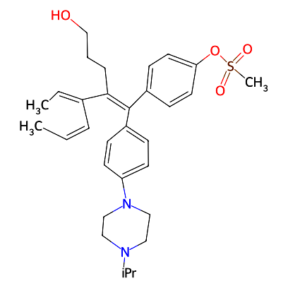 C\C=C/C(=C\C)C(/CCCO)=C(/c1ccc(OS(C)(=O)=O)cc1)c1ccc(N2CCN(C(C)C)CC2)cc1